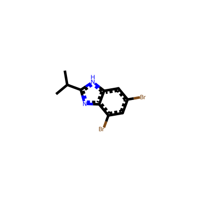 CC(C)c1nc2c(Br)cc(Br)cc2[nH]1